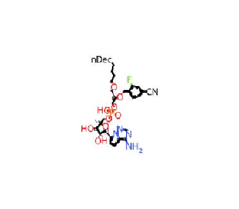 CCCCCCCCCCCCCCOC[C@H](COP(=O)(O)OC[C@@]1(C)O[C@@H](c2ccc3c(N)ncnn23)[C@H](O)[C@@H]1O)OCc1ccc(C#N)cc1F